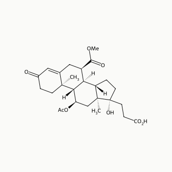 COC(=O)[C@@H]1CC2=CC(=O)CC[C@]2(C)[C@@H]2[C@@H]1[C@@H]1CC[C@@](O)(CCC(=O)O)[C@@]1(C)C[C@H]2OC(C)=O